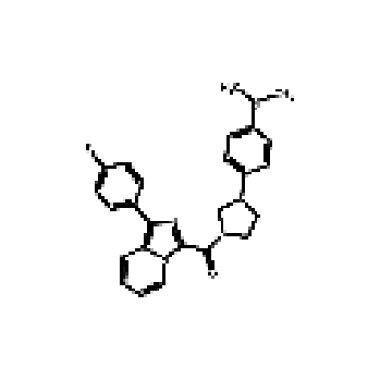 CN(C)c1ccc(C2CCN(C(=O)c3nc(-c4ccc(F)cc4)c4ccccn34)C2)cc1